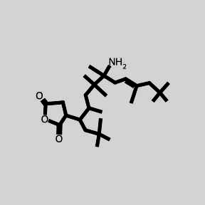 C/C(=C\CC(C)(N)C(C)(C)CC(C)C(CC(C)(C)C)C1CC(=O)OC1=O)CC(C)(C)C